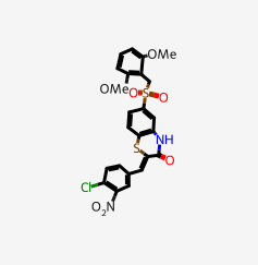 COc1cccc(OC)c1CS(=O)(=O)c1ccc2c(c1)NC(=O)C(=Cc1ccc(Cl)c([N+](=O)[O-])c1)S2